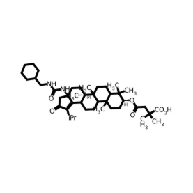 CC(C)C1=C2C3CCC4C5(C)CC[C@H](OC(=O)CC(C)(C)C(=O)O)C(C)(C)C5CCC4(C)[C@]3(C)CC[C@@]2(NC(=O)NCC2CCCCC2)CC1=O